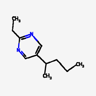 CCCC(C)c1cnc(CC)nc1